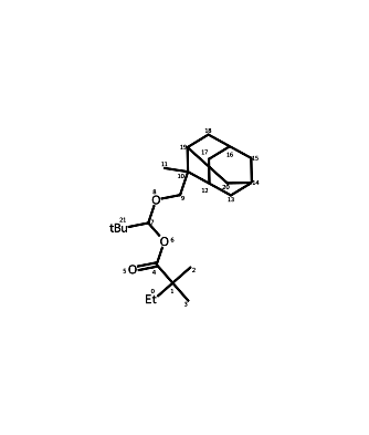 CCC(C)(C)C(=O)OC(OCC1(C)C2CC3CC(C2)CC1C3)C(C)(C)C